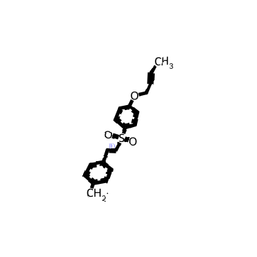 [CH2]c1ccc(/C=C/S(=O)(=O)c2ccc(OCC#CC)cc2)cc1